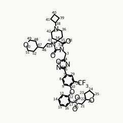 O=C1N(Cc2nc(-c3ccc(Oc4ccccc4S(=O)(=O)CC4CCCO4)c(C(F)(F)F)c3)no2)C(=O)C2(CCN(C3CCC3)CC2)N1CCC1CCOCC1